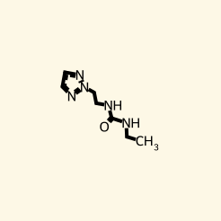 CCNC(=O)NCCn1nccn1